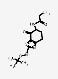 CCC(=O)NC1CCc2nc(NOC(C)(C)C)sc2C1=O